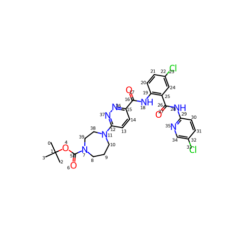 CC(C)(C)OC(=O)N1CCCN(c2ccc(C(=O)Nc3ccc(Cl)cc3C(=O)Nc3ccc(Cl)cn3)nn2)CC1